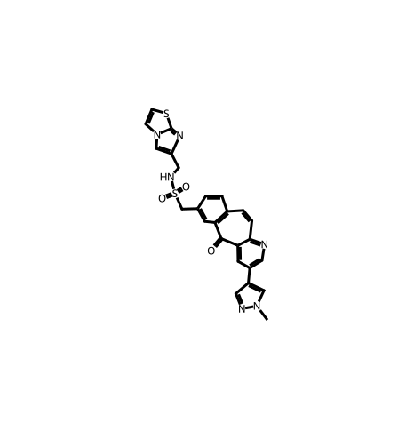 Cn1cc(-c2cnc3ccc4ccc(CS(=O)(=O)NCc5cn6ccsc6n5)cc4c(=O)c3c2)cn1